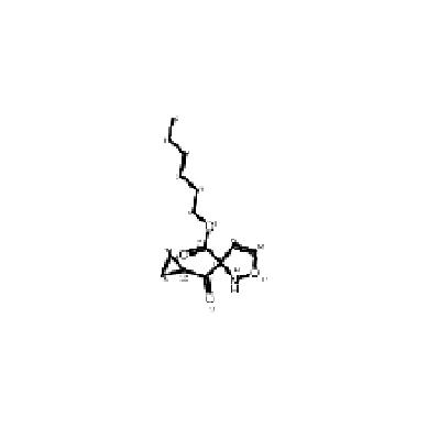 CCCCCCOC(=O)C1(C(=O)C2CC2)C=CON1